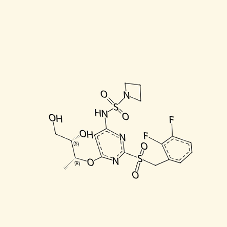 C[C@@H](Oc1cc(NS(=O)(=O)N2CCC2)nc(S(=O)(=O)Cc2cccc(F)c2F)n1)[C@@H](O)CO